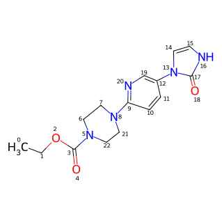 CCOC(=O)N1CCN(c2ccc(-n3cc[nH]c3=O)cn2)CC1